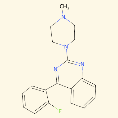 CN1CCN(c2nc(-c3ccccc3F)c3ccccc3n2)CC1